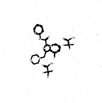 O=C(Nc1ccccn1)c1nc(CN2CCOCC2)c2c(F)cccn12.O=C(O)C(F)(F)F.O=C(O)C(F)(F)F